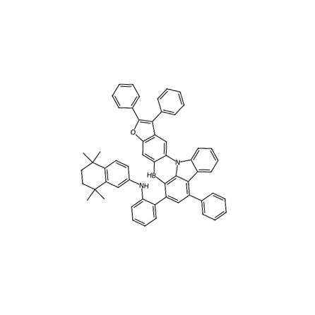 CC1(C)CCC(C)(C)c2cc(Nc3ccccc3-c3cc(-c4ccccc4)c4c5ccccc5n5c4c3Bc3cc4oc(-c6ccccc6)c(-c6ccccc6)c4cc3-5)ccc21